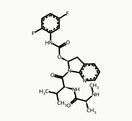 CN[C@@H](C)C(=O)N[C@H](C(=O)N1c2ncccc2C[C@@H]1OC(=O)Nc1cc(F)ccc1F)C(C)C